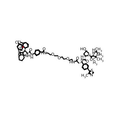 CC(=O)N[C@H](C(=O)N1C[C@H](O)C[C@H]1C(=O)N[C@@H](CC(=O)NCCOCCOCCOCCNC(=O)c1ccc(NC(=O)[C@@H]2NC3(CCCCC3)[C@@]3(C(=O)Nc4cc(Cl)ccc43)[C@H]2c2cccc(Cl)c2F)cc1)c1ccc(-c2scnc2C)cc1)C(C)(C)C